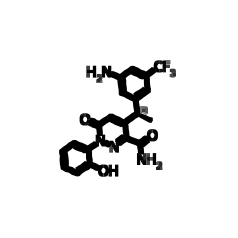 C[C@H](c1cc(N)cc(C(F)(F)F)c1)c1cc(=O)n(-c2ccccc2O)nc1C(N)=O